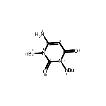 CCCCn1c(N)cc(=O)n(CCCC)c1=O